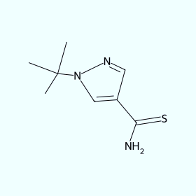 CC(C)(C)n1cc(C(N)=S)cn1